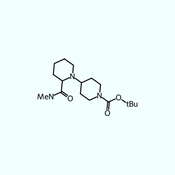 CNC(=O)C1CCCCN1C1CCN(C(=O)OC(C)(C)C)CC1